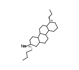 CCCC[C@]1(C#N)CCC2C(CCC3C2CCC2C3CCC[C@@H]2CCC)C1